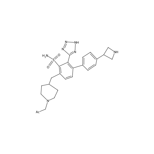 CC(=O)CN1CCC(Cc2ccc(-c3ccc(C4CNC4)cc3)c(-c3nn[nH]n3)c2S(N)(=O)=O)CC1